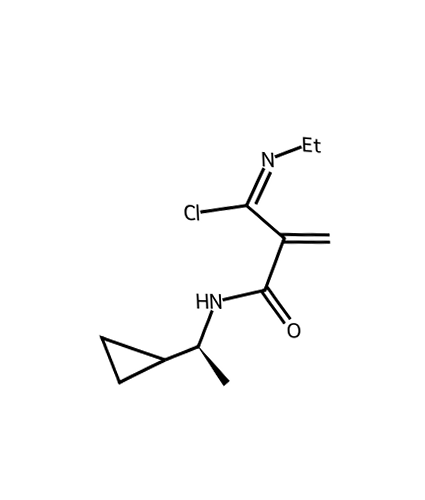 C=C(C(=O)N[C@@H](C)C1CC1)/C(Cl)=N\CC